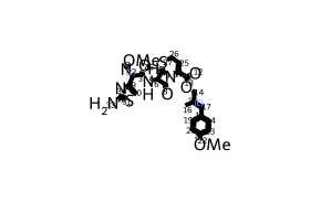 CO/N=C(\C(=O)NC1C(=O)N2C(C(=O)OC/C(C)=C/c3ccc(OC)cc3)=CCS[C@H]12)c1csc(N)n1